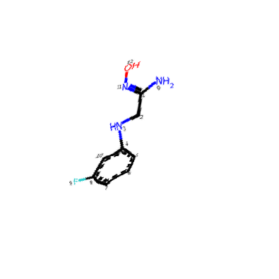 NC(CNc1cccc(F)c1)=NO